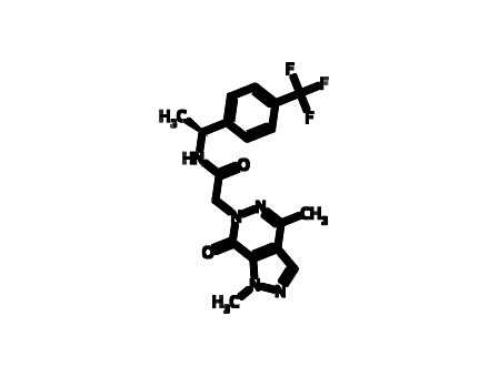 Cc1nn(CC(=O)N[C@@H](C)c2ccc(C(F)(F)F)cc2)c(=O)c2c1cnn2C